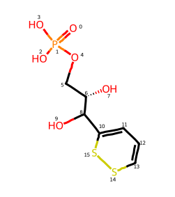 O=P(O)(O)OC[C@H](O)C(O)C1=CC=CSS1